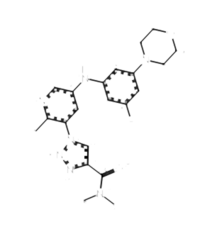 Cc1ncc(Nc2cc(F)cc(N3CCOCC3)c2)cc1-n1cc(C(=O)N(C)C)nn1